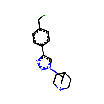 ClCc1ccc(-c2cn(C3CN4CCC3CC4)nn2)cc1